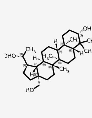 C[C@@H](C=O)[C@@H]1CC[C@]2(CO)CC[C@]3(C)[C@H](CC[C@@H]4[C@@]5(C)CC[C@H](O)C(C)(C)[C@@H]5CC[C@]43C)[C@@H]12